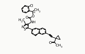 CC(=O)C1(C#Cc2ccc3cc(-c4snc(C)c4NC(=O)O[C@H](C)c4ccccc4Cl)ccc3c2)CC1